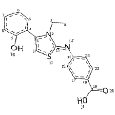 CCn1c(-c2ccccc2O)cs/c1=N\c1ccc(C(=O)O)cc1